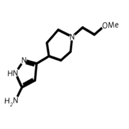 COCCN1CCC(c2cc(N)[nH]n2)CC1